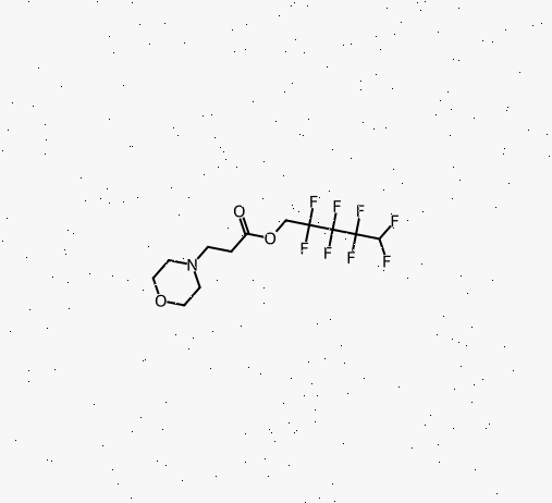 O=C(CCN1CCOCC1)OCC(F)(F)C(F)(F)C(F)(F)C(F)F